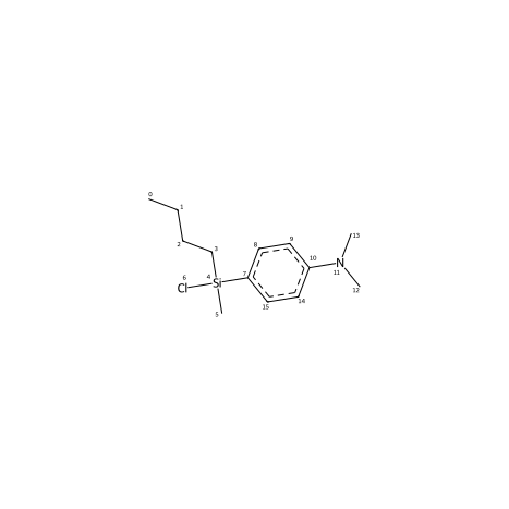 CCCC[Si](C)(Cl)c1ccc(N(C)C)cc1